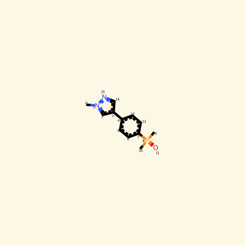 Cn1cc(-c2ccc(P(C)(C)=O)cc2)cn1